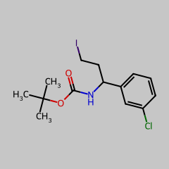 CC(C)(C)OC(=O)NC(CCI)c1cccc(Cl)c1